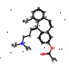 CC(=O)Oc1ccc2c(c1)C=Cc1cccc(C)c1/C2=C/CCN(C)C